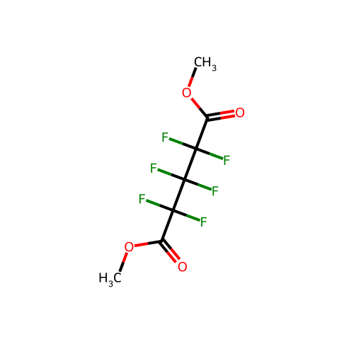 COC(=O)C(F)(F)C(F)(F)C(F)(F)C(=O)OC